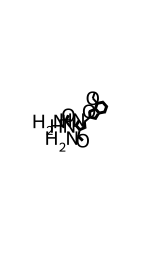 COc1cccc2cc(-c3cc(C(N)=O)c(NC(N)=O)[nH]3)oc12